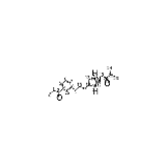 CCC(=O)c1cccc(CCCC2C[C@@H]3C[C@H]2CN3CC(=O)C(C)C)c1